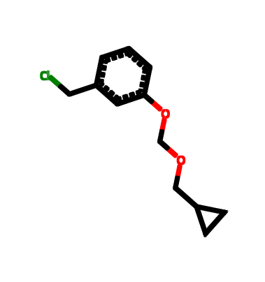 ClCc1cccc(OCOCC2CC2)c1